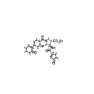 CCOC(=O)[C@H]1CN(Nc2ccc(-n3ccccc3=O)cc2F)C[C@@H]1NC(=O)c1ccc(Cl)s1